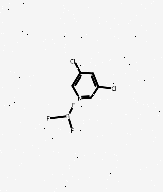 Clc1cncc(Cl)c1.FB(F)F